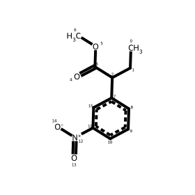 CCC(C(=O)OC)c1cccc([N+](=O)[O-])c1